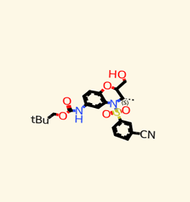 C[C@H]1C(CO)Oc2ccc(NC(=O)OCC(C)(C)C)cc2N1S(=O)(=O)c1cccc(C#N)c1